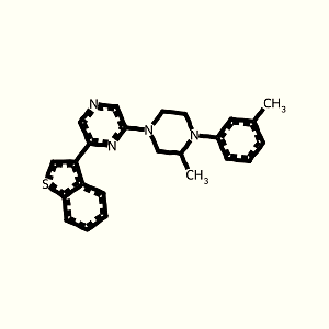 Cc1cccc(N2CCN(c3cncc(-c4csc5ccccc45)n3)CC2C)c1